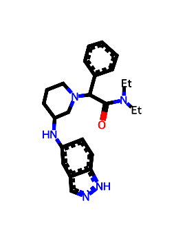 CCN(CC)C(=O)C(c1ccccc1)N1CCCC(Nc2ccc3[nH]ncc3c2)C1